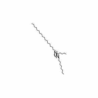 CCCCCCCCCCCCCCCCCCN1C=CN(CCCCCCCCC)C1CCCC